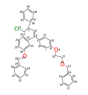 ClCC(C=C(c1ccc(OCCOCc2ccccc2)cc1)c1cccc(OCc2ccccc2)c1)c1ccccc1